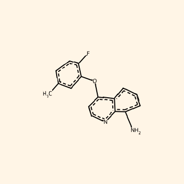 Cc1ccc(F)c(Oc2ccnc3c(N)cccc23)c1